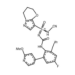 COc1cc(-c2cc(F)cc(C(C)C)c2NC(=O)N=[S@](=O)(NC#N)c2cnn3c2OCCC3)ccn1